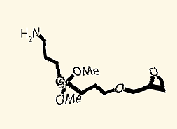 CO[Si](CCCOCC1CO1)(OC)OCCCN